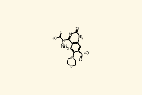 NN(C(=O)O)c1nc(=O)[nH]c2cc([N+](=O)[O-])c(N3CCOCC3)cc12